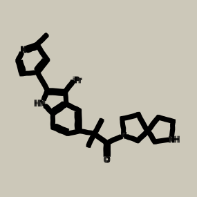 Cc1cc(-c2[nH]c3ccc(C(C)(C)C(=O)N4CCC5(CCNC5)C4)cc3c2C(C)C)ccn1